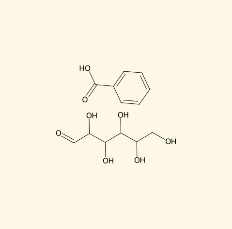 O=C(O)c1ccccc1.O=CC(O)C(O)C(O)C(O)CO